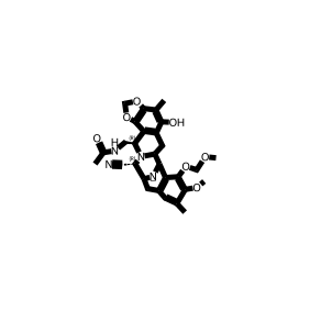 COCOc1c(OC)c(C)cc2c1C1C3Cc4c(O)c(C)c5c(c4[C@H](CNC(C)=O)N3[C@@H](C#N)C(C2)N1C)OCO5